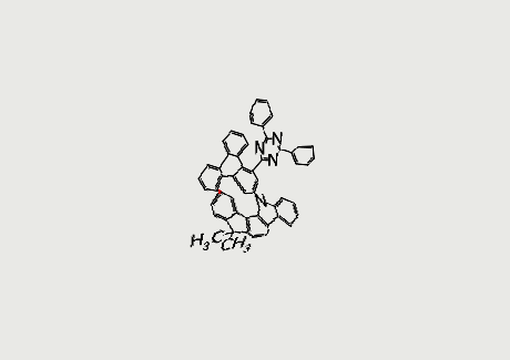 CC1(C)c2ccccc2-c2c1ccc1c3ccccc3n(-c3cc(-c4nc(-c5ccccc5)nc(-c5ccccc5)n4)c4c5ccccc5c5ccccc5c4c3)c21